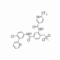 CS(=O)(=O)Cc1ccc(C(=O)Nc2ccc(Cl)c(-c3ccccn3)c2)cc1NC(=O)c1ccc(C(F)(F)F)nc1